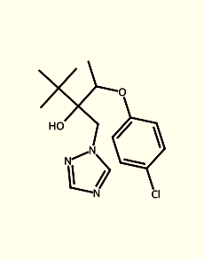 CC(Oc1ccc(Cl)cc1)C(O)(Cn1cncn1)C(C)(C)C